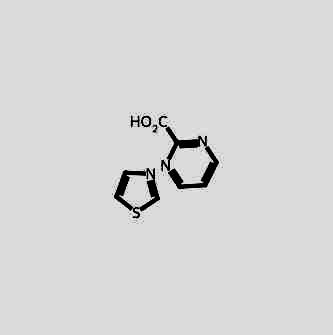 O=C(O)c1ncccn1.c1cscn1